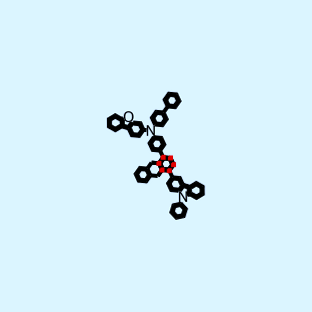 c1ccc(-c2ccc(N(c3ccc(-c4ccc(-c5ccc6c(c5)c5ccccc5n6-c5ccccc5)c5c4C4c6ccccc6C5c5ccccc54)cc3)c3ccc4c(c3)oc3ccccc34)cc2)cc1